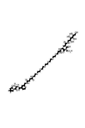 C[C@@H](NC(=O)c1ccnc(CNC(=O)CCC(=O)NCCOCCOCCOCCOCCOCCOCCC(O)N[C@H](CCC(=O)NC[C@H](O)[C@@H](O)[C@H](O)[C@H](O)CO)C(=O)N(CS)C(=O)O)c1)C(=O)N1CC(F)(F)C[C@H]1C#N